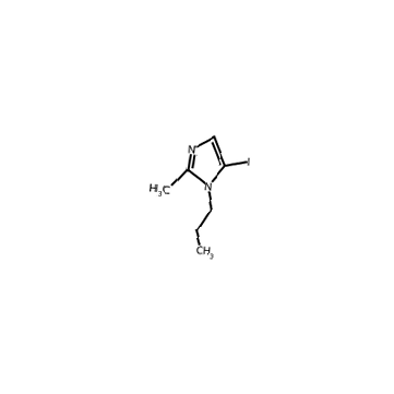 CCCn1c(I)cnc1C